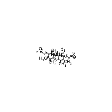 Cc1c(C)c(Sc2c(C)c(C)c(SCC3CO3)c(C)c2C)c(C)c(C)c1SCC1CO1